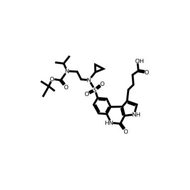 CC(C)N(CCN(C1CC1)S(=O)(=O)c1ccc2[nH]c(=O)c3[nH]cc(CCCC(=O)O)c3c2c1)C(=O)OC(C)(C)C